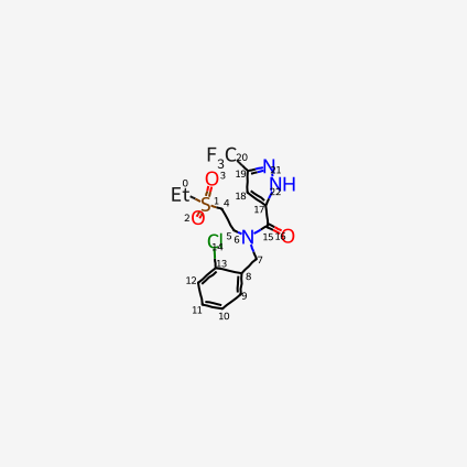 CCS(=O)(=O)CCN(Cc1ccccc1Cl)C(=O)c1cc(C(F)(F)F)n[nH]1